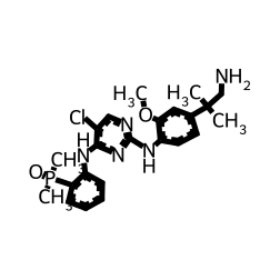 COc1cc(C(C)(C)CN)ccc1Nc1ncc(Cl)c(Nc2ccccc2P(C)(C)=O)n1